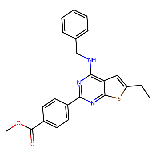 CCc1cc2c(NCc3ccccc3)nc(-c3ccc(C(=O)OC)cc3)nc2s1